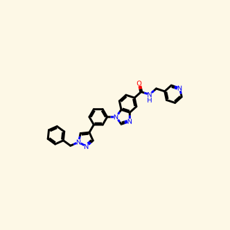 O=C(NCc1cccnc1)c1ccc2c(c1)ncn2-c1cccc(-c2cnn(Cc3ccccc3)c2)c1